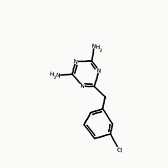 Nc1nc(N)nc(Cc2cccc(Cl)c2)n1